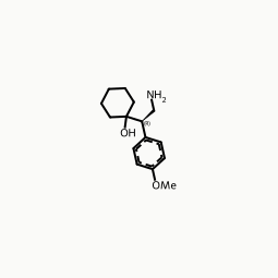 COc1ccc([C@H](CN)C2(O)CCCCC2)cc1